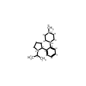 CC(C)N1CCCC1c1ccccc1N1CCN(C)CC1